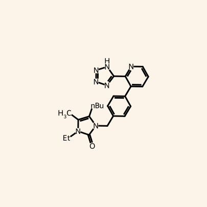 CCCCc1c(C)n(CC)c(=O)n1Cc1ccc(-c2cccnc2-c2nnn[nH]2)cc1